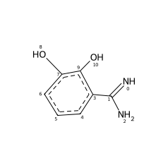 N=C(N)c1cccc(O)c1O